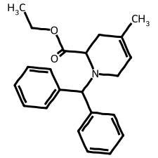 CCOC(=O)C1CC(C)=CCN1C(c1ccccc1)c1ccccc1